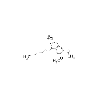 CCCCCCCc1nccc2cc(OC)c(OC)cc12.Cl.Cl